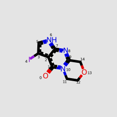 O=c1c2c(I)c[nH]c2nc2n1CCOC2